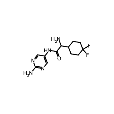 Nc1ncc(NC(=O)C(N)C2CCC(F)(F)CC2)cn1